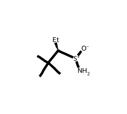 CC[C@@H]([S+](N)[O-])C(C)(C)C